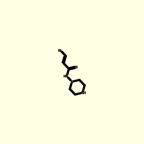 CCC=CC(=O)NN1CCNCC1